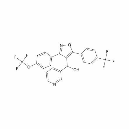 OC(c1cccnc1)c1c(-c2ccc(OC(F)(F)F)cc2)noc1-c1ccc(C(F)(F)F)cc1